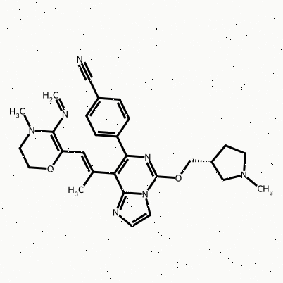 C=NC1=C(/C=C(\C)c2c(-c3ccc(C#N)cc3)nc(OC[C@@H]3CCN(C)C3)n3ccnc23)OCCN1C